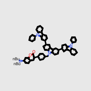 CCCCN(CCCC)c1ccc2cc(-c3ccc(Cn4c5ccc(-c6ccc7c(c6)c6ccccc6n7-c6ccccc6)cc5c5cc(-c6ccc7c8ccccc8n(-c8ccccc8)c7c6)ccc54)cc3)c(=O)oc2c1